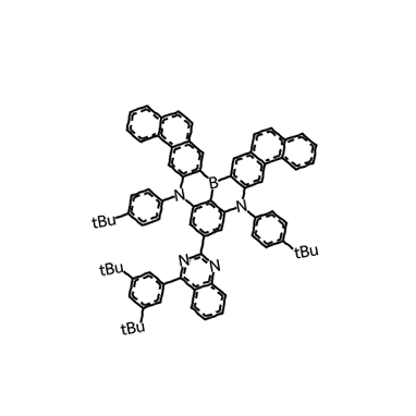 CC(C)(C)c1ccc(N2c3cc4c(ccc5ccccc54)cc3B3c4cc5ccc6ccccc6c5cc4N(c4ccc(C(C)(C)C)cc4)c4cc(-c5nc(-c6cc(C(C)(C)C)cc(C(C)(C)C)c6)c6ccccc6n5)cc2c43)cc1